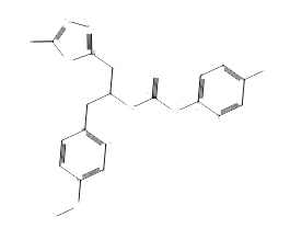 COc1ccc(CC(Cc2nnc(O)o2)NC(=O)Nc2ccc(Cl)cc2)cc1